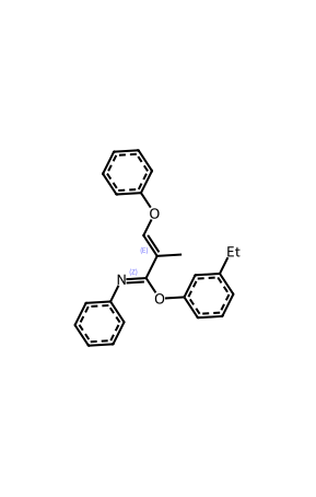 CCc1cccc(OC(=N\c2ccccc2)/C(C)=C/Oc2ccccc2)c1